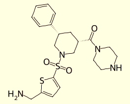 NCc1ccc(S(=O)(=O)N2C[C@@H](C(=O)N3CCNCC3)C[C@@H](c3ccccc3)C2)s1